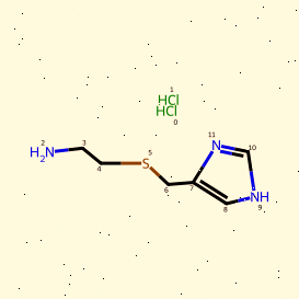 Cl.Cl.NCCSCc1c[nH]cn1